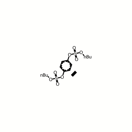 C#C.CCCCOS(=O)(=O)Oc1ccc(OS(=O)(=O)OCCCC)cc1